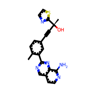 Cc1ccc(C#C[C@@](C)(O)c2nccs2)cc1-c1ncc2ccnc(N)c2n1